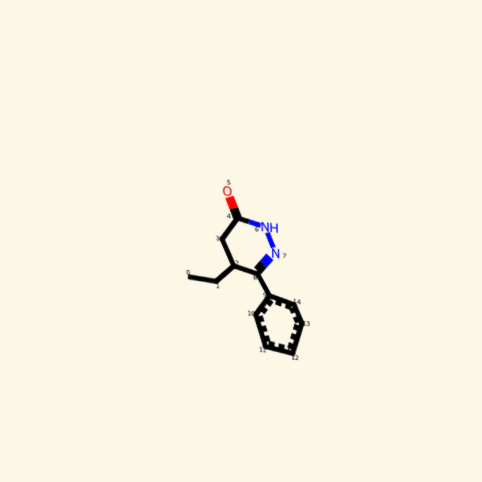 CCC1CC(=O)NN=C1c1ccccc1